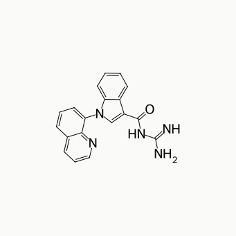 N=C(N)NC(=O)c1cn(-c2cccc3cccnc23)c2ccccc12